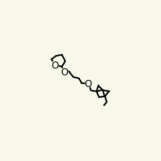 CCC12CC3(COCCCCOC4CCCCO4)CC13C2